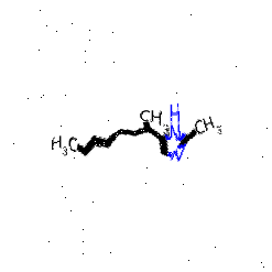 CCCCCCC(C)c1cnc(C)[nH]1